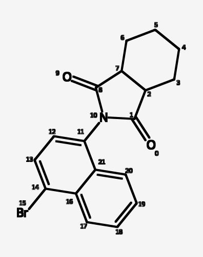 O=C1C2CCCCC2C(=O)N1c1ccc(Br)c2ccccc12